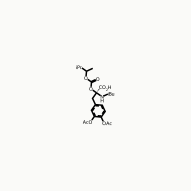 CCC(C)N[C@@](Cc1ccc(OC(C)=O)c(OC(C)=O)c1)(OC(=O)OC(C)C(C)C)C(=O)O